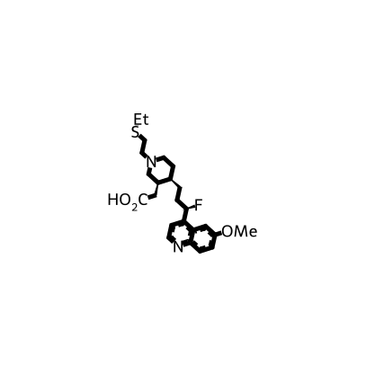 CCSCCN1CC[C@@H](CC[C@@H](F)c2ccnc3ccc(OC)cc23)[C@@H](CC(=O)O)C1